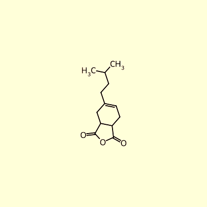 CC(C)CCC1=CCC2C(=O)OC(=O)C2C1